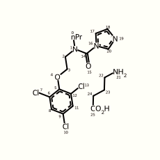 CCCN(CCOc1c(Cl)cc(Cl)cc1Cl)C(=O)n1ccnc1.NCCCC(=O)O